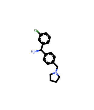 NC(c1ccc(CN2CCCC2)cc1)c1cccc(Cl)c1